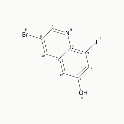 Oc1cc(I)c2ncc(Br)cc2c1